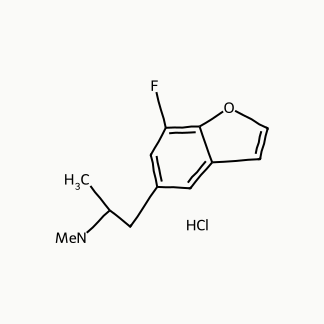 CNC(C)Cc1cc(F)c2occc2c1.Cl